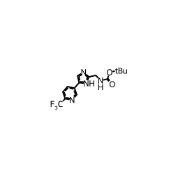 CC(C)(C)OC(=O)NCc1ncc(-c2ccc(C(F)(F)F)nc2)[nH]1